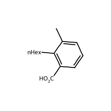 CCCCCCc1c(C)cccc1C(=O)O